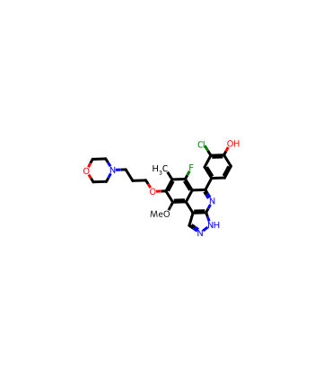 COc1c(OCCCN2CCOCC2)c(C)c(F)c2c(-c3ccc(O)c(Cl)c3)nc3[nH]ncc3c12